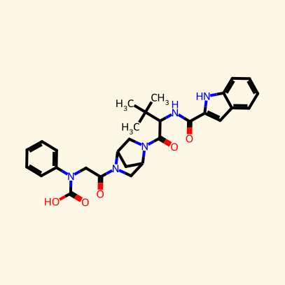 CC(C)(C)C(NC(=O)c1cc2ccccc2[nH]1)C(=O)N1CC2CC1CN2C(=O)CN(C(=O)O)c1ccccc1